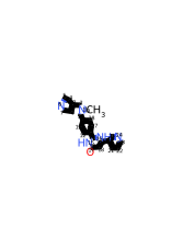 CN(Cc1ccncc1)Cc1ccc(C2NC(=O)C=C(c3cccnc3)N2)cc1